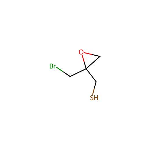 SCC1(CBr)CO1